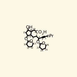 CCCC#CC(CCC1C(OC2CCCCO2)CC(O)C1CC(=O)O)OC1CCCCO1